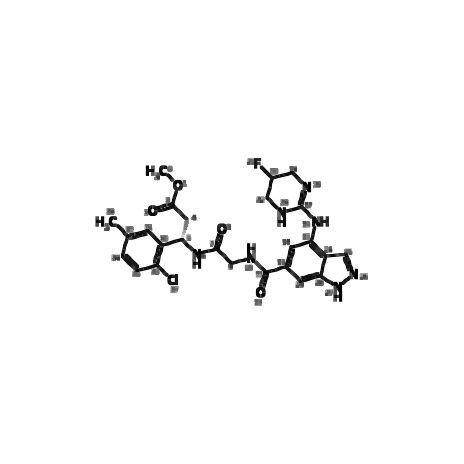 COC(=O)C[C@H](NC(=O)CNC(=O)c1cc(NC2=NCC(F)CN2)c2cn[nH]c2c1)c1cc(C)ccc1Cl